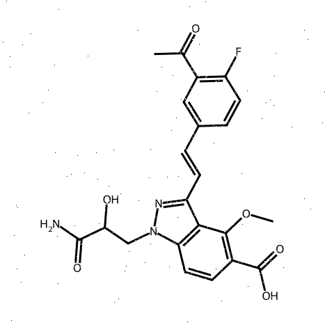 COc1c(C(=O)O)ccc2c1c(C=Cc1ccc(F)c(C(C)=O)c1)nn2CC(O)C(N)=O